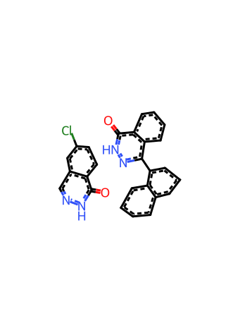 O=c1[nH]nc(-c2cccc3ccccc23)c2ccccc12.O=c1[nH]ncc2cc(Cl)ccc12